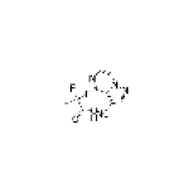 N#Cc1cnn2ccncc12.O=C(O)C(F)(F)F